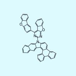 c1ccc2cc3c(cc2c1)c1c2c4ccccc4c4ccccc4c2ccc1n3-c1nc(-c2ccc3oc4ccccc4c3c2)c2c(n1)oc1ccccc12